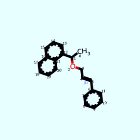 CC(OC/C=C/c1ccccc1)c1cccc2ccccc12